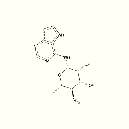 C[C@@H]1O[C@H](Nc2ncnc3cc[nH]c23)[C@H](O)[C@H](O)[C@H]1N